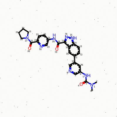 CN(C)C(=O)Nc1cncc(-c2ccc3[nH]nc(C(=O)Nc4ccc(C(=O)N5CCCC5)nc4)c3c2)c1